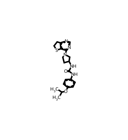 CC(C)Oc1ccc(NC(=O)NC2CCN(c3ncnc4c3SCC4)C2)cc1